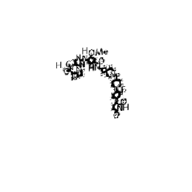 COc1cc(C(=O)NC2CC3(CCN(CC4CCN(c5ccc(C6CCC(=O)NC6=O)cc5F)CC4)CC3)C2)ccc1Nc1ncc2c(n1)N1CCC[C@@H]1CC(=O)N2C